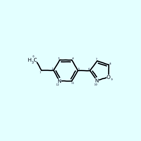 CCc1ccc(-c2ccon2)cn1